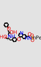 CCCCCS(=O)(=O)NC(=O)c1ccc2c(Oc3ccc(C[C@@H](CO)NC[C@H](O)COc4ccccc4)cc3)ccnc2c1